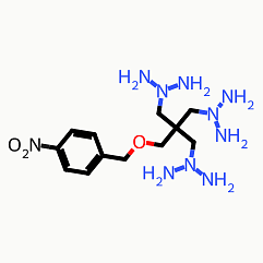 NN(N)CC(COCc1ccc([N+](=O)[O-])cc1)(CN(N)N)CN(N)N